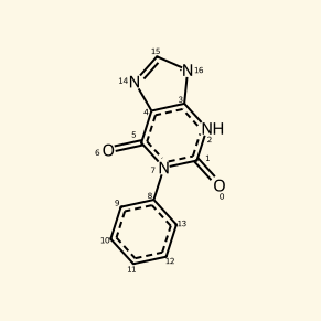 O=c1[nH]c2c(c(=O)n1-c1ccccc1)N=C[N]2